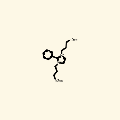 CCCCCCCCCCCCCn1cc[n+](CCCCCCCCCCCCC)c1-c1ccccc1